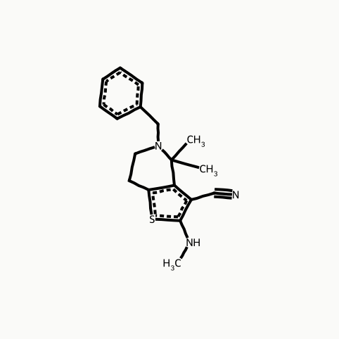 CNc1sc2c(c1C#N)C(C)(C)N(Cc1ccccc1)CC2